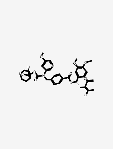 C=C(Cl)/C(C[C@H](OC(=O)c1ccc(CN(C(=O)O[C@H]2CN3CCC2CC3)c2cncc(OC)c2)cc1)c1ccc(OC)c(OC)c1)=C(\C)Cl